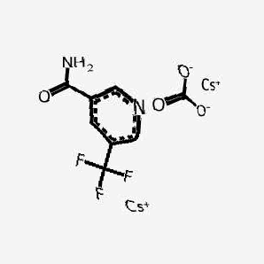 NC(=O)c1cncc(C(F)(F)F)c1.O=C([O-])[O-].[Cs+].[Cs+]